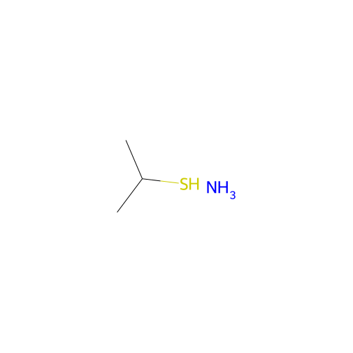 CC(C)S.N